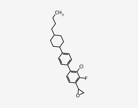 CCCCC1CCC(c2ccc(-c3ccc(C4CO4)c(F)c3Cl)cc2)CC1